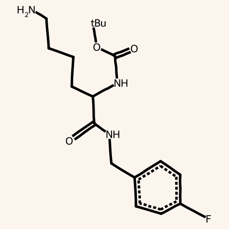 CC(C)(C)OC(=O)NC(CCCCN)C(=O)NCc1ccc(F)cc1